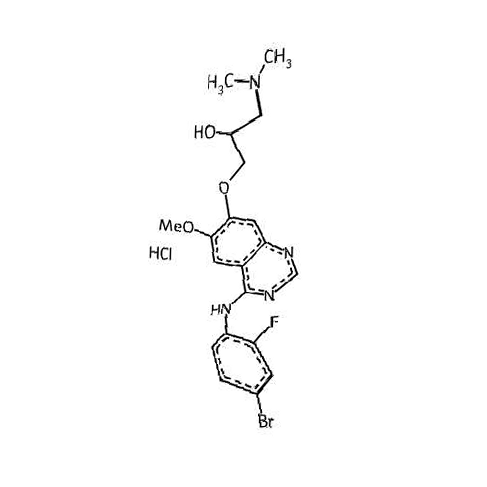 COc1cc2c(Nc3ccc(Br)cc3F)ncnc2cc1OCC(O)CN(C)C.Cl